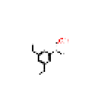 [CH2]C(CO)c1cc(CC)cc(CC)c1